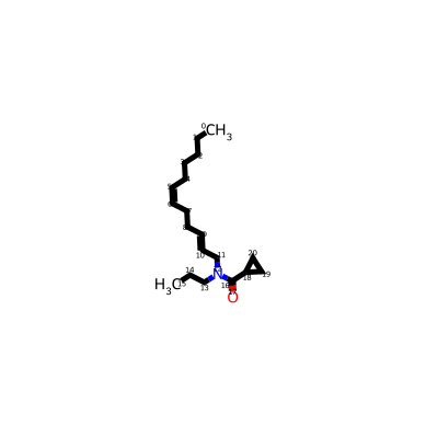 CCCCC/C=C\CC/C=C/CN(CCC)C(=O)C1CC1